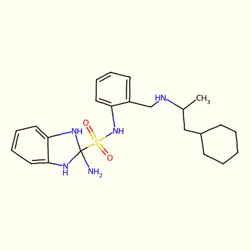 CC(CC1CCCCC1)NCc1ccccc1NS(=O)(=O)C1(N)Nc2ccccc2N1